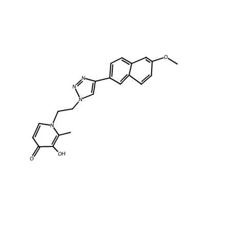 COc1ccc2cc(-c3cn(CCn4ccc(=O)c(O)c4C)nn3)ccc2c1